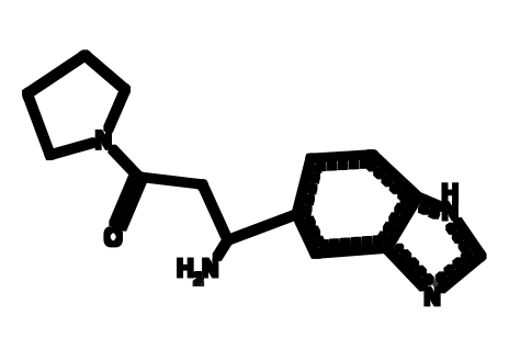 NC(CC(=O)N1CCCC1)c1ccc2[nH]cnc2c1